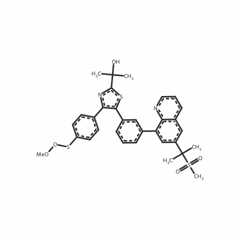 COOSc1ccc(-c2nc(C(C)(C)O)sc2-c2cccc(-c3cc(C(C)(C)S(C)(=O)=O)cc4cccnc34)c2)cc1